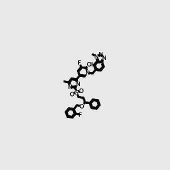 Cc1cc(C2=CN(Cc3ccc4nnn(C)c4c3)C(O)C(F)=C2)nc(S(=O)(=O)CCC(OCc2ccccc2F)c2ccccc2)n1